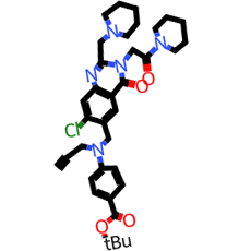 C#CCN(Cc1cc2c(=O)n(CC(=O)N3CCCCC3)c(CN3CCCCC3)nc2cc1Cl)c1ccc(C(=O)OC(C)(C)C)cc1